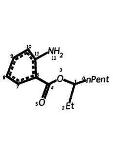 CCCCCC(CC)OC(=O)c1ccccc1N